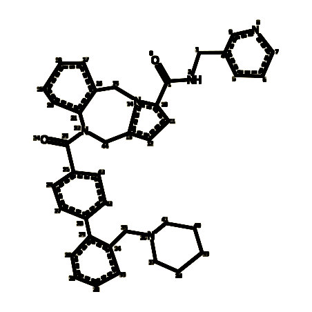 O=C(NCc1cccnc1)c1ccc2n1Cc1ccccc1N(C(=O)c1ccc(-c3ccccc3CN3CCCCC3)cc1)C2